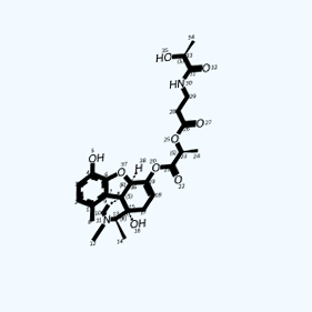 Cc1ccc(O)c2c1[C@]13CCN(C)[C@H](C)[C@]1(O)CC=C(OC(=O)[C@H](C)OC(=O)CCNC(=O)[C@H](C)O)[C@@H]3O2